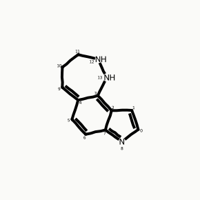 C1=Cc2c3c(ccc2=N1)=CCCNN3